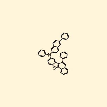 c1ccc(-c2ccc3cc(N(c4ccccc4)c4ccc5sc6c7ccccc7cc(-c7ccccc7)c6c5c4)ccc3c2)cc1